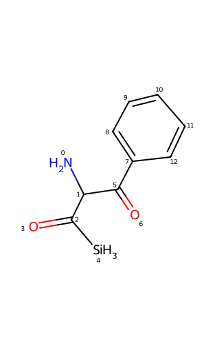 NC(C(=O)[SiH3])C(=O)c1ccccc1